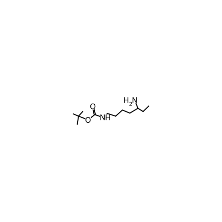 CCC(N)CCCCNC(=O)OC(C)(C)C